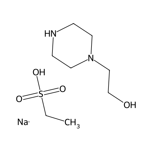 CCS(=O)(=O)O.OCCN1CCNCC1.[Na]